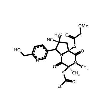 CCC(=O)S[C@@]1(C)C(=O)N2C(c3ccc(CO)nc3)[C@@](C)(C#N)C[C@]2(SC(=O)COC)C(=O)N1C